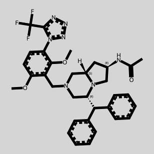 COc1ccc(-n2nnnc2C(F)(F)F)c(OC)c1CN1C[C@@H]2C[C@@H](NC(C)=O)CN2[C@H](C(c2ccccc2)c2ccccc2)C1